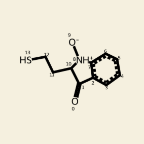 O=C1c2ccccc2[NH+]([O-])C1CCS